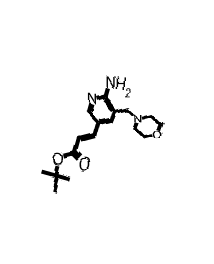 CC(C)(C)OC(=O)/C=C/c1cnc(N)c(CN2CCOCC2)c1